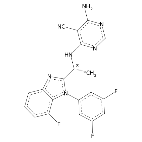 C[C@@H](Nc1ncnc(N)c1C#N)c1nc2cccc(F)c2n1-c1cc(F)cc(F)c1